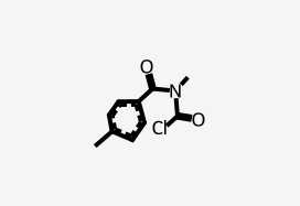 Cc1ccc(C(=O)N(C)C(=O)Cl)cc1